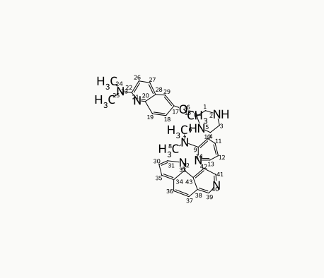 C1CNCCN1.CN(C)c1ccccn1.COc1ccc2nc(N(C)C)ccc2c1.c1cnc2c(c1)ccc1cnccc12